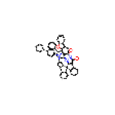 O=c1c2c(n3c4ccc(-c5ccccc5)cc4c(=O)n13)C1(c3ccccc3-c3ccc(N(c4ccc(-c5ccccc5)cc4)c4cccc5c4oc4ccccc45)cc31)c1ccccc1-2